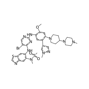 COc1cc(N2CCC(N3CCN(C)CC3)CC2)c(-c2cnn(C)c2)cc1Nc1ncc(Br)c(Nc2cc3scnc3cc2N(C)S(C)(=O)=O)n1